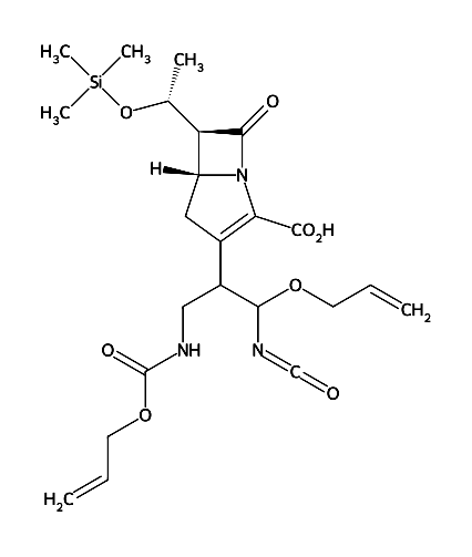 C=CCOC(=O)NCC(C1=C(C(=O)O)N2C(=O)[C@H]([C@@H](C)O[Si](C)(C)C)[C@H]2C1)C(N=C=O)OCC=C